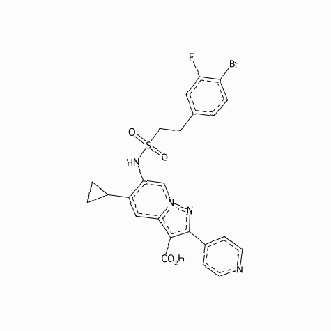 O=C(O)c1c(-c2ccncc2)nn2cc(NS(=O)(=O)CCc3ccc(Br)c(F)c3)c(C3CC3)cc12